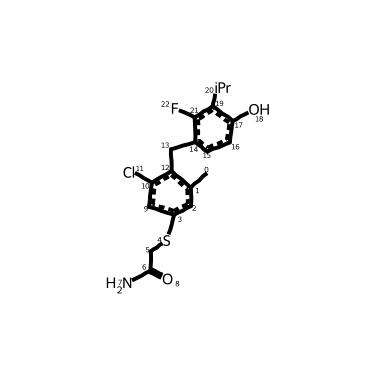 Cc1cc(SCC(N)=O)cc(Cl)c1Cc1ccc(O)c(C(C)C)c1F